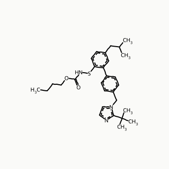 CCCCOC(=O)NSc1ccc(CC(C)C)cc1-c1ccc(Cn2ccnc2C(C)(C)C)cc1